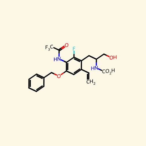 C=Cc1cc(OCc2ccccc2)c(NC(=O)C(F)(F)F)c(F)c1CC(CO)NC(=O)O